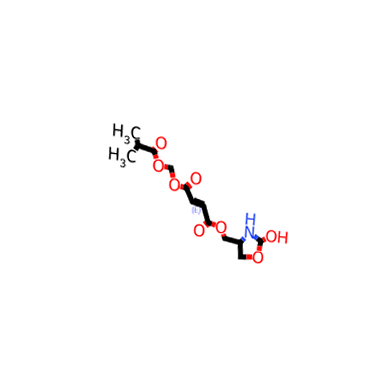 CC(C)C(=O)OCOC(=O)/C=C/C(=O)OCC1COC(O)N1